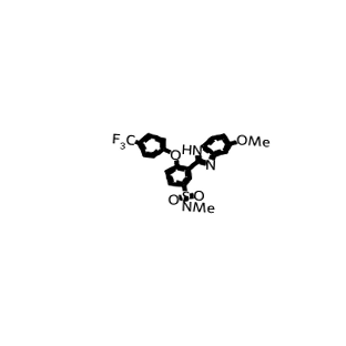 CNS(=O)(=O)c1ccc(Oc2ccc(C(F)(F)F)cc2)c(-c2nc3cc(OC)ccc3[nH]2)c1